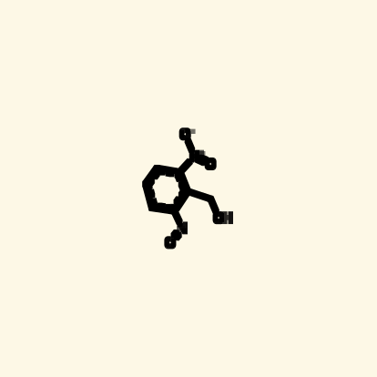 O=Nc1cccc([N+](=O)[O-])c1CO